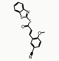 COc1ccc(C#N)cc1/C=C/C(=O)Sc1nc2ccccc2s1